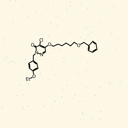 CCOc1ccc(Cn2ncc(OCCCCCCOCc3ccccc3)c(Cl)c2=O)cc1